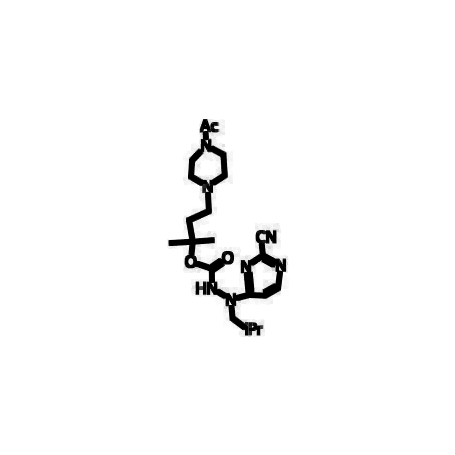 CC(=O)N1CCN(CCC(C)(C)OC(=O)NN(CC(C)C)c2ccnc(C#N)n2)CC1